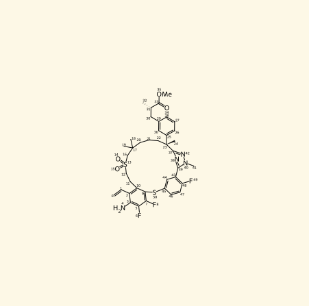 C=Cc1c(N)c(F)c(F)c2c1CCS(=O)(=O)CC(C)(C)CCC[C@](C)(c1cccc(C[C@H](C)C(=O)OC)c1)c1nc(n(C)n1)-c1cc(ccc1F)S2